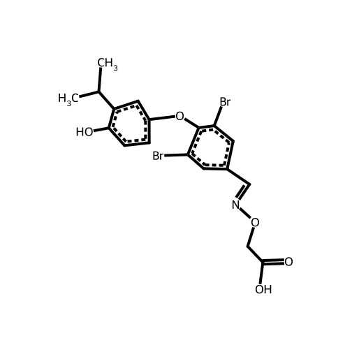 CC(C)c1cc(Oc2c(Br)cc(C=NOCC(=O)O)cc2Br)ccc1O